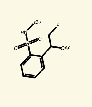 CC(=O)OC(CF)c1ccccc1S(=O)(=O)NC(C)(C)C